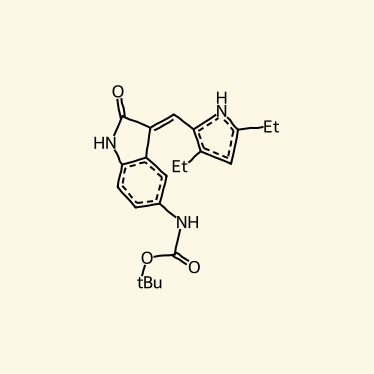 CCc1cc(CC)c(C=C2C(=O)Nc3ccc(NC(=O)OC(C)(C)C)cc32)[nH]1